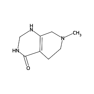 CN1CCC2=C(C1)NCNC2=O